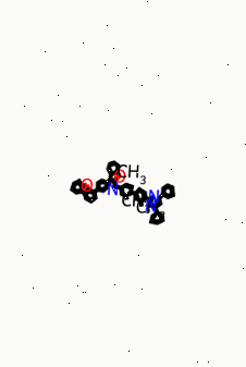 CC1C=C(c2nc3cc(-c4cccc5c4oc4ccccc45)ccc3c3c2OC2(C)CC=CC=C32)C=CC1C1=CC(C)C(c2nc(-c3ccccc3)cc(-c3ccccc3)n2)C=C1